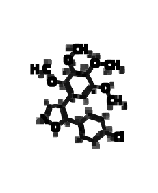 COc1cc(-c2cnoc2-c2ccc(Cl)cc2)c(OC)c(OC)c1OC